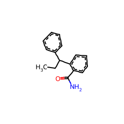 CCC(c1ccccc1)c1ccccc1C(N)=O